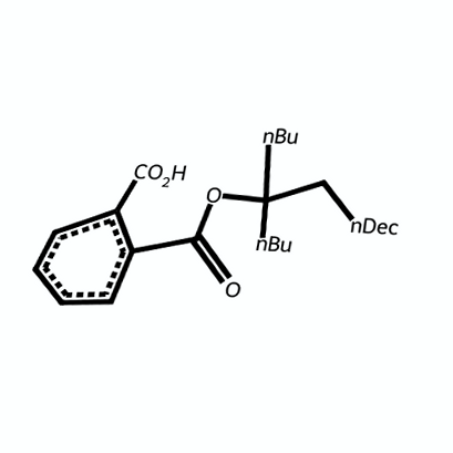 CCCCCCCCCCCC(CCCC)(CCCC)OC(=O)c1ccccc1C(=O)O